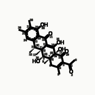 CC(=O)C1=C(C)C[C@@]2(C)[C@H](O)[C@]3(C)C(=C(O)[C@@]2(O)C1=O)C(=O)c1c(cc(C)c(C)c1O)[C@H]3C